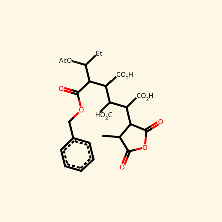 CCC(OC(C)=O)C(C(=O)OCc1ccccc1)C(C(=O)O)C(C(=O)O)C(C(=O)O)C1C(=O)OC(=O)C1C